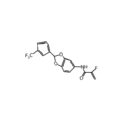 C=C(F)C(=O)Nc1ccc2c(c1)OC(c1cccc(C(F)(F)F)c1)O2